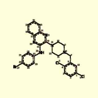 Clc1ccc(Cl)c(CN2CCN(c3nc4ccccc4nc3Nc3ccc(Br)cc3)CC2)c1